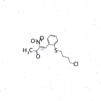 CC(=O)/C(=C/c1ccccc1SCCCCCl)[N+](=O)[O-]